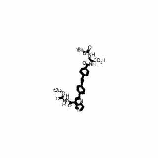 CC(C)(C)OC(=O)NCC(NC(=O)c1ccc(C#Cc2ccc(-c3cc(C(=O)NNC(=O)OC(C)(C)C)c4cnccc4n3)cc2)cc1)C(=O)O